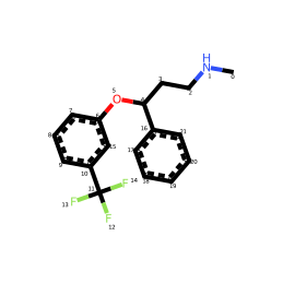 CNCCC(Oc1cccc(C(F)(F)F)c1)c1ccccc1